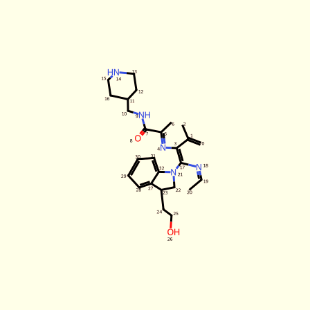 C=C(C)C(/N=C(\C)C(=O)NCC1CCNCC1)=C(\N=C/C)N1CC(CCO)c2ccccc21